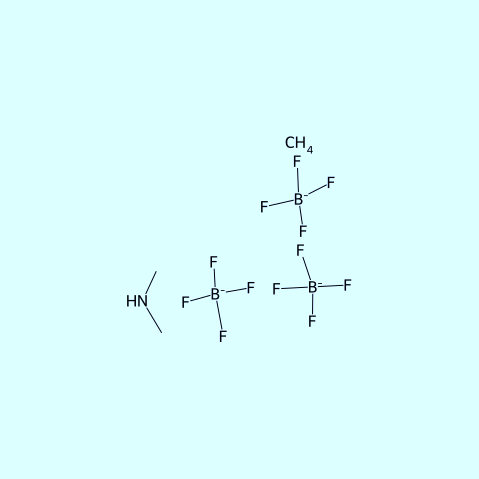 C.CNC.F[B-](F)(F)F.F[B-](F)(F)F.F[B-](F)(F)F